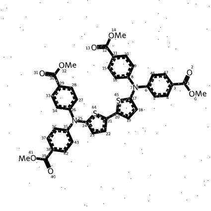 COC(=O)c1ccc(N(c2ccc(C(=O)OC)cc2)c2ccc(-c3ccc(N(c4ccc(C(=O)OC)cc4)c4ccc(C(=O)OC)cc4)s3)s2)cc1